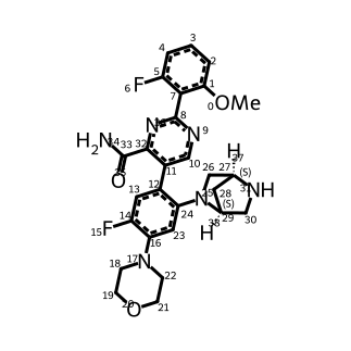 COc1cccc(F)c1-c1ncc(-c2cc(F)c(N3CCOCC3)cc2N2C[C@@H]3C[C@H]2CN3)c(C(N)=O)n1